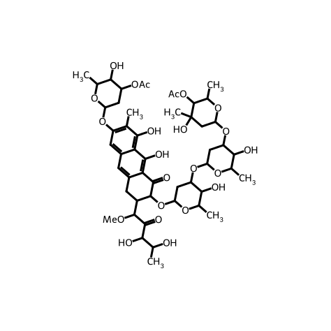 COC(C(=O)C(O)C(C)O)C1Cc2cc3cc(OC4CC(OC(C)=O)C(O)C(C)O4)c(C)c(O)c3c(O)c2C(=O)C1OC1CC(OC2CC(OC3CC(C)(O)C(OC(C)=O)C(C)O3)C(O)C(C)O2)C(O)C(C)O1